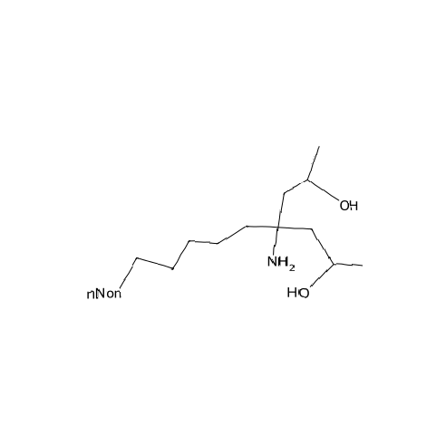 CCCCCCCCCCCCCCC(N)(CC(C)O)CC(C)O